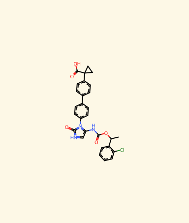 CC(OC(=O)Nc1c[nH]c(=O)n1-c1ccc(-c2ccc(C3(C(=O)O)CC3)cc2)cc1)c1ccccc1Cl